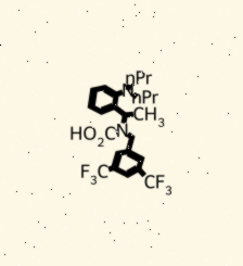 CCCN(CCC)c1ccccc1C(C)N(Cc1cc(C(F)(F)F)cc(C(F)(F)F)c1)C(=O)O